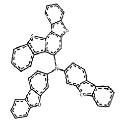 c1ccc2c(c1)oc1cc(N(c3ccc4c(c3)oc3ccccc34)c3cc4oc5ccccc5c4c4sc5ccccc5c34)ccc12